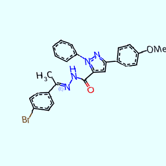 COc1ccc(-c2cc(C(=O)N/N=C(\C)c3ccc(Br)cc3)n(-c3ccccc3)n2)cc1